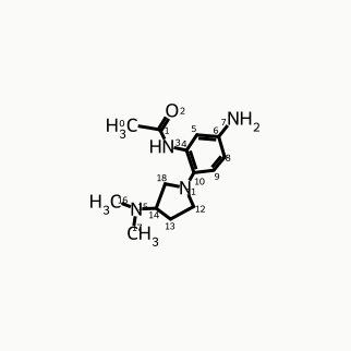 CC(=O)Nc1cc(N)ccc1N1CCC(N(C)C)C1